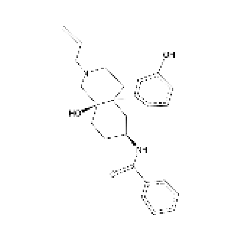 C=CCN1CC[C@@]2(c3cccc(O)c3)C[C@@H](NC(=O)c3ccccc3)CC[C@]2(O)C1